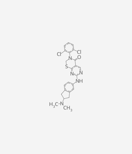 CN(C)C1Cc2ccc(Nc3ncc4c(n3)SCN(c3c(Cl)cccc3Cl)C4=O)cc2C1